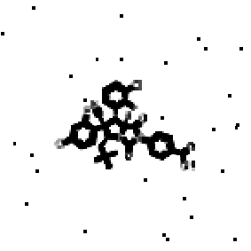 CC(C)(C)C[C@@H]1N2C(=O)N(c3ccc(C(=O)O)cc3)C(=O)[C@H]2[C@H](c2cccc(Cl)c2F)[C@@]1(C#N)c1ccc(Cl)cc1F